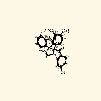 CN1CCC(C(=O)c2ccc(O)cc2)(c2ccc(O)c(O)c2)C12C(=O)Nc1ccccc12